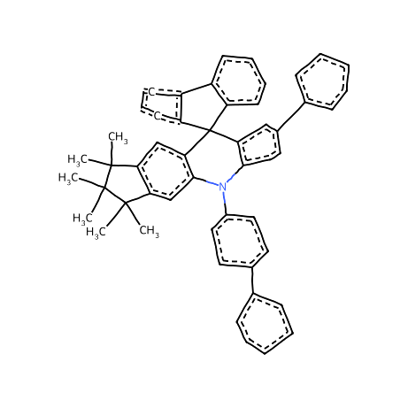 CC1(C)c2cc3c(cc2C(C)(C)C1(C)C)C1(c2ccccc2-c2ccccc21)c1cc(-c2ccccc2)ccc1N3c1ccc(-c2ccccc2)cc1